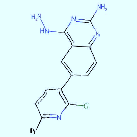 CC(C)c1ccc(-c2ccc3nc(N)nc(NN)c3c2)c(Cl)n1